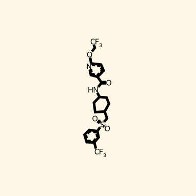 O=C(NC1CCC(CS(=O)(=O)c2cccc(C(F)(F)F)c2)CC1)c1ccc(OCC(F)(F)F)nc1